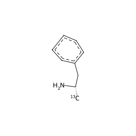 [13CH3][C@H](N)Cc1ccccc1